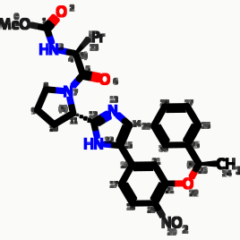 COC(=O)N[C@H](C(=O)N1CCC[C@H]1c1ncc(-c2ccc([N+](=O)[O-])c(O[C@H](C)c3ccccc3)c2)[nH]1)C(C)C